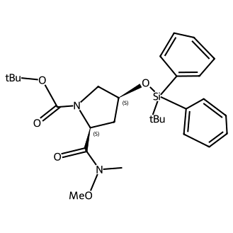 CON(C)C(=O)[C@@H]1C[C@H](O[Si](c2ccccc2)(c2ccccc2)C(C)(C)C)CN1C(=O)OC(C)(C)C